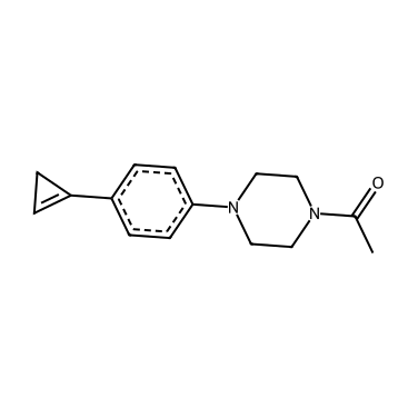 CC(=O)N1CCN(c2ccc(C3=CC3)cc2)CC1